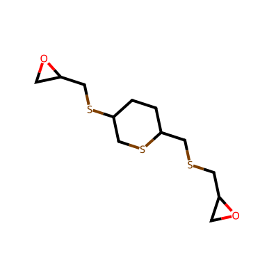 C1OC1CSCC1CCC(SCC2CO2)CS1